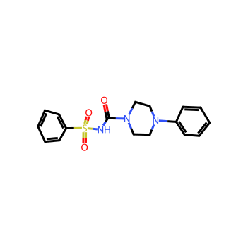 O=C(NS(=O)(=O)c1ccccc1)N1CCN(c2ccccc2)CC1